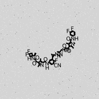 C=CC1(NC(=O)C(=O)c2c(C)c(C(=O)Nc3cc(C#N)c(F)c(C4CC4n4cc(CNC(=O)C(=O)c5c(C)c(C(=O)Nc6ccc(F)c(F)c6)n(C)c5C)nn4)c3)n(C)c2C)CC(F)(F)C1